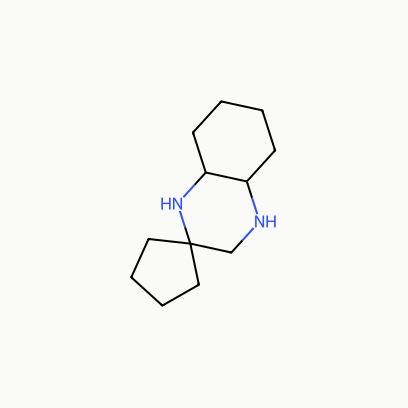 C1CCC2NC3(CCCC3)CNC2C1